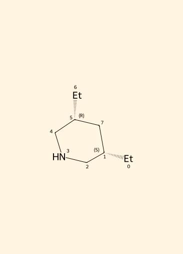 CC[C@@H]1CNC[C@H](CC)C1